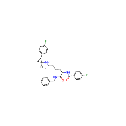 CC1(NCCCCC(NC(=O)c2ccc(Cl)cc2)C(=O)NCc2ccccc2)CC1c1ccc(F)cc1